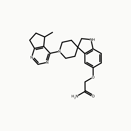 CC1CCc2ncnc(N3CCC4(CC3)CNc3ccc(OCC(N)=O)cc34)c21